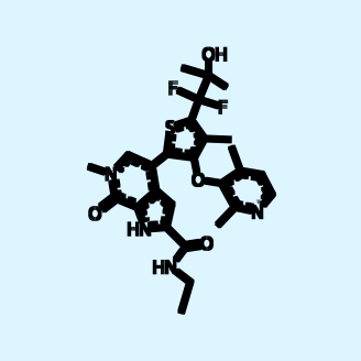 CCNC(=O)c1cc2c(-c3sc(C(F)(F)C(C)(C)O)c(C)c3Oc3c(C)ccnc3C)cn(C)c(=O)c2[nH]1